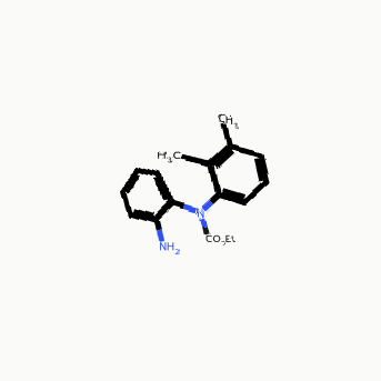 CCOC(=O)N(c1ccccc1N)c1cccc(C)c1C